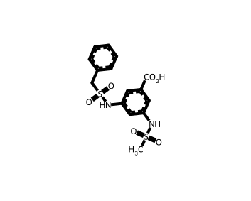 CS(=O)(=O)Nc1cc(NS(=O)(=O)Cc2ccccc2)cc(C(=O)O)c1